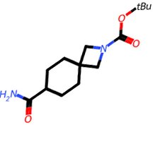 CC(C)(C)OC(=O)N1CC2(CCC(C(N)=O)CC2)C1